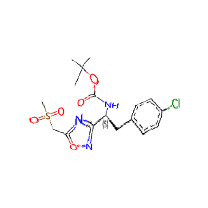 CC(C)(C)OC(=O)N[C@@H](Cc1ccc(Cl)cc1)c1noc(CS(C)(=O)=O)n1